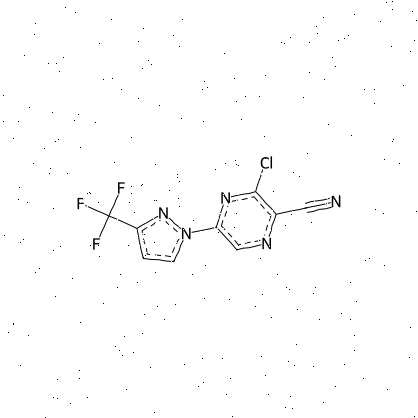 N#Cc1ncc(-n2ccc(C(F)(F)F)n2)nc1Cl